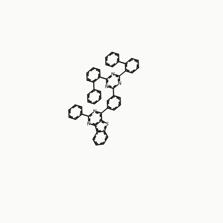 c1ccc(-c2nc(-c3cccc(-c4nc(-c5ccccc5-c5ccccc5)nc(-c5ccccc5-c5ccccc5)n4)c3)c3sc4ccccc4c3n2)cc1